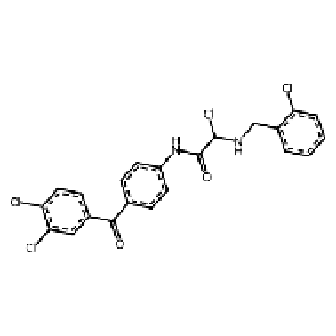 O=C(c1ccc(NC(=O)C(Cl)NCc2ccccc2Cl)cc1)c1ccc(Cl)c(Cl)c1